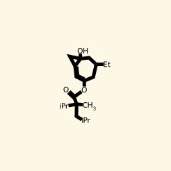 CCC1CC(OC(=O)C(C)(CC(C)C)C(C)C)=C=C2CC2(O)C1